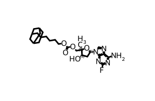 C[C@]1(COC(=O)OCCCCC23CC4CC(CC(C4)C2)C3)O[C@@H](n2cnc3c(N)nc(F)nc32)C[C@@H]1O